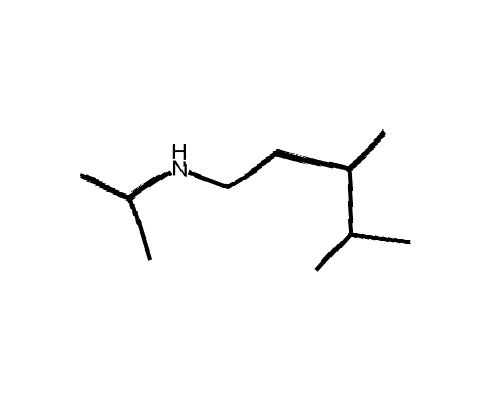 CC(C)NCCC(C)C(C)C